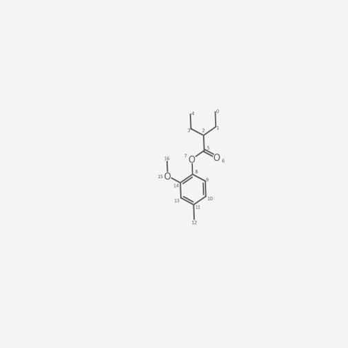 CCC(CC)C(=O)Oc1ccc(C)cc1OC